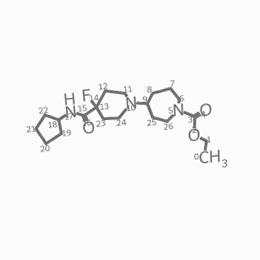 CCOC(=O)N1CCCC(N2CCC(F)(C(=O)NC3CCCC3)CC2)CC1